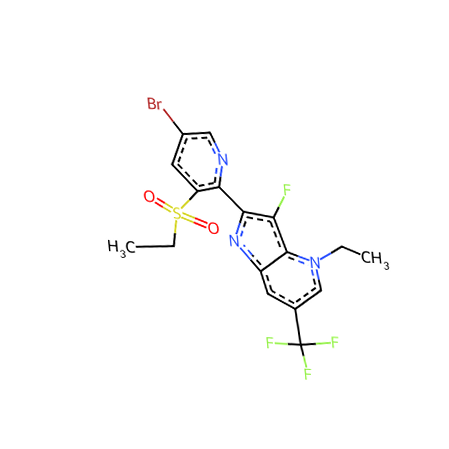 CCn1cc(C(F)(F)F)cc2nc(-c3ncc(Br)cc3S(=O)(=O)CC)c(F)c1-2